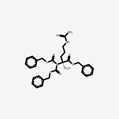 N=C(N)NCCC[C@@](C(=O)O)(C(=O)OCc1ccccc1)N(C(=O)OCc1ccccc1)C(=O)OCc1ccccc1